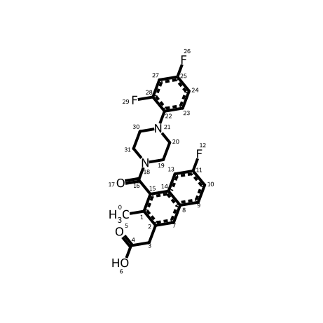 Cc1c(CC(=O)O)cc2ccc(F)cc2c1C(=O)N1CCN(c2ccc(F)cc2F)CC1